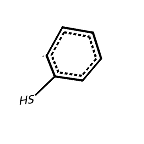 Sc1[c]cccc1